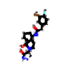 C[C@H](C(N)=O)n1ccc2c(NC(=O)Cc3ccc(F)c(Br)c3)cccc2c1=O